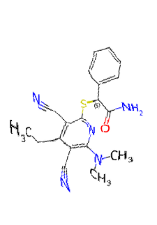 CCc1c(C#N)c(S[C@H](C(N)=O)c2ccccc2)nc(N(C)C)c1C#N